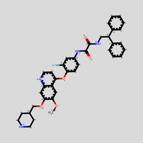 COc1cc2c(Oc3ccc(NC(=O)C(=O)NCC(c4ccccc4)c4ccccc4)cc3F)ccnc2cc1OCC1CCNCC1